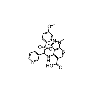 COc1ccc(S(=O)(=O)C(Nc2c(C(=O)O)cnc3c2c(C)nn3C)c2cccnc2)cc1